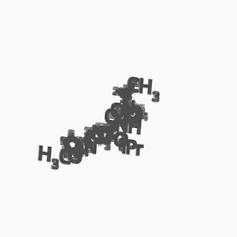 CC(C)Oc1cc2nc([C@@]34CC[C@@](C)(C3)OC4)cn2cc1C(=O)Nc1cccn(C2C[C@H]2C)c1=O